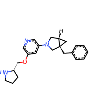 c1ccc(C[C@]23C[C@H]2CN(c2cncc(OC[C@@H]4CCCN4)c2)C3)cc1